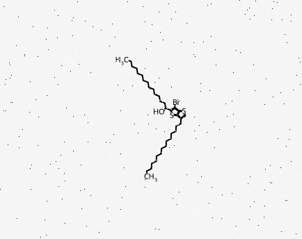 CCCCCCCCCCCCCCCc1csc2c(Br)c(C(O)CCCCCCCCCCCCCC)sc12